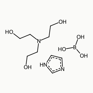 OB(O)O.OCCN(CCO)CCO.c1c[nH]cn1